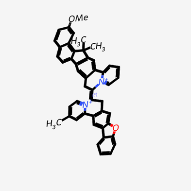 COc1ccc2ccc3c(c2c1)C(C)(C)c1cc2c(cc1-3)C/C(=C1/Cc3cc4oc5ccccc5c4cc3-c3cc(C)cc[n+]31)[n+]1ccccc1-2